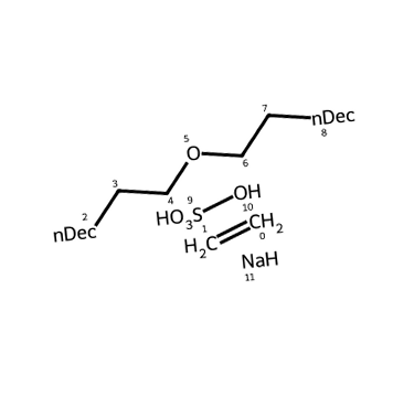 C=C.CCCCCCCCCCCCOCCCCCCCCCCCC.O=S(=O)(O)O.[NaH]